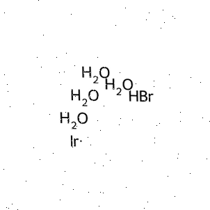 Br.O.O.O.O.[Ir]